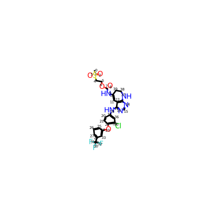 CS(=O)(=O)CCOC(=O)NC1=Cc2c(ncnc2Nc2ccc(Oc3cccc(C(F)(F)F)c3)c(Cl)c2)NCC1